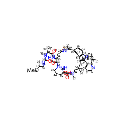 CCn1c(-c2cccnc2[C@H](C)OC)c2c3cc(ccc31)-c1csc(n1)C[C@H](NC(=O)[C@H](C(C)C)N(C)C(=O)N1CC(OC)C1)C(=O)N1CCC[C@@](O)(N1)C(=O)N(C)CC(C)(C)C2